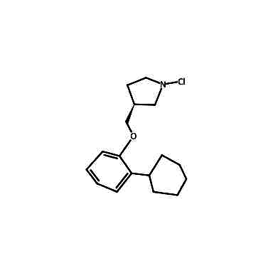 ClN1CC[C@H](COc2ccccc2C2CCCCC2)C1